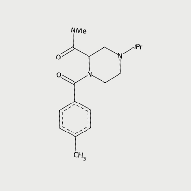 CNC(=O)C1CN(C(C)C)CCN1C(=O)c1ccc(C)cc1